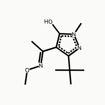 CON=C(C)c1c(C(C)(C)C)nn(C)c1O